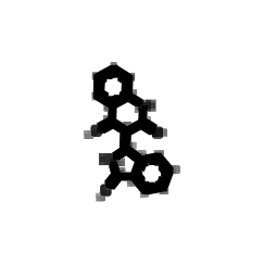 O=C1Nc2ccccc2C(=O)C1=C1NC(=O)c2ccccc21